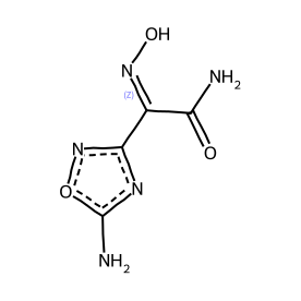 NC(=O)/C(=N\O)c1noc(N)n1